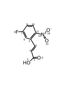 O=C(O)C=Cc1cc(F)ccc1[N+](=O)[O-]